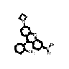 CC[N+](CC)=c1ccc2c(-c3ccccc3C)c3ccc(N4CCC4)cc3oc-2c1